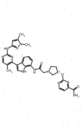 Cc1cnc(Nc2cc(C)n(C)n2)nc1-c1c[nH]c2c(NC(=O)CN3CC[C@H](Oc4nccc(C(N)=O)n4)C3)cccc12